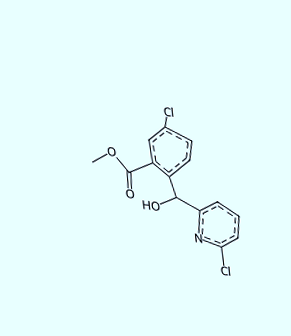 COC(=O)c1cc(Cl)ccc1C(O)c1cccc(Cl)n1